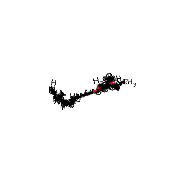 CCCCOc1cccc(Oc2cc3c(cc2NS(=O)(=O)c2cccc(C(=O)NCCCCCCCNC(=O)CN4CCN(C(=O)c5ccc(Nc6nc(C7CC7)cn7c(-c8cn[nH]c8)cnc67)c(F)c5)CC4)c2)n(C)c(=O)n3C)c1